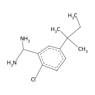 CCC(C)(C)c1ccc(Cl)c(C(N)N)c1